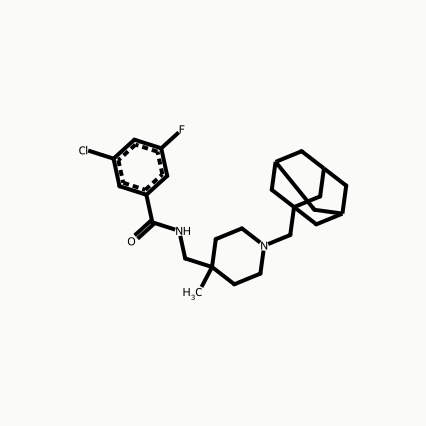 CC1(CNC(=O)c2cc(F)cc(Cl)c2)CCN(CC23CC4CC(CC(C4)C2)C3)CC1